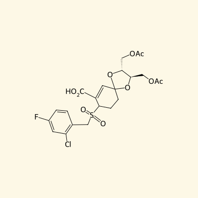 CC(=O)OC[C@H]1OC2(C=C(C(=O)O)C(S(=O)(=O)Cc3ccc(F)cc3Cl)CC2)O[C@@H]1COC(C)=O